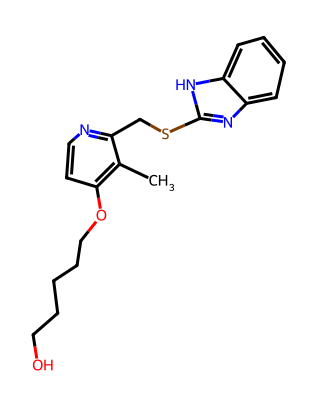 Cc1c(OCCCCCO)ccnc1CSc1nc2ccccc2[nH]1